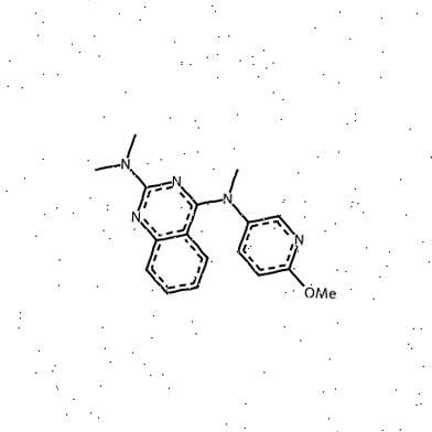 COc1ccc(N(C)c2nc(N(C)C)nc3ccccc23)cn1